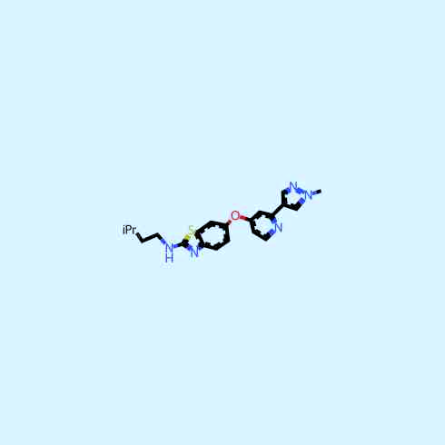 CC(C)CCNc1nc2ccc(Oc3ccnc(-c4cnn(C)c4)c3)cc2s1